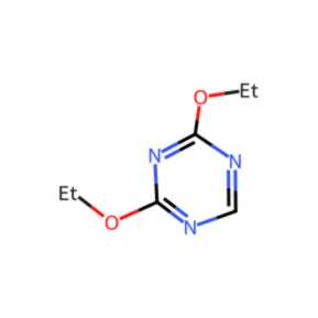 CCOc1ncnc(OCC)n1